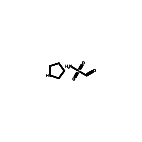 C1CCNC1.NS(=O)(=O)C=O